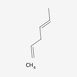 C.C=CCC=CC